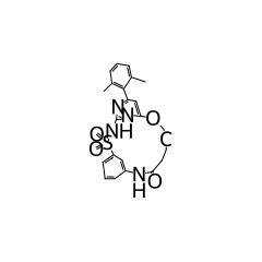 Cc1cccc(C)c1-c1cc2nc(n1)NS(=O)(=O)c1cccc(c1)NC(=O)CCCCO2